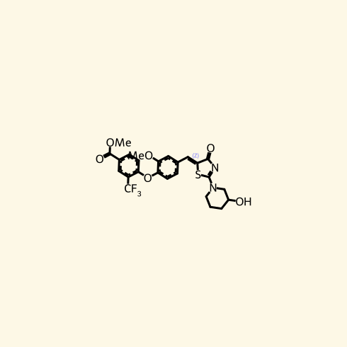 COC(=O)c1ccc(Oc2ccc(/C=C3\SC(N4CCCC(O)C4)=NC3=O)cc2OC)c(C(F)(F)F)c1